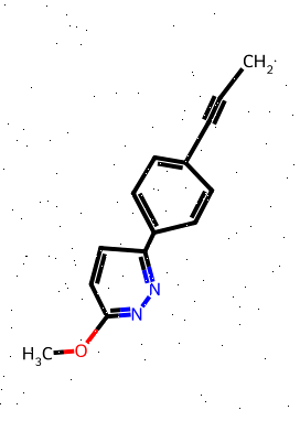 [CH2]C#Cc1ccc(-c2ccc(OC)nn2)cc1